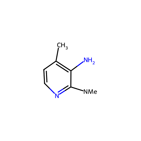 CNc1nccc(C)c1N